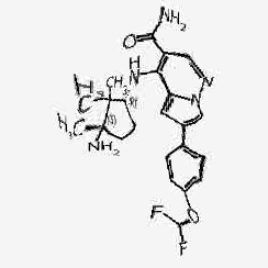 CC1(C)[C@H](Nc2c(C(N)=O)cnn3cc(-c4ccc(OC(F)F)cc4)cc23)CC[C@]1(C)N